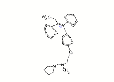 CC/C(=C(\c1ccccc1)c1ccc(OCCN(C)CN2CCCC2)cc1)c1ccccc1